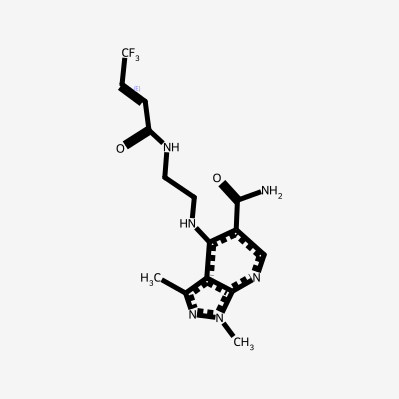 Cc1nn(C)c2ncc(C(N)=O)c(NCCNC(=O)/C=C/C(F)(F)F)c12